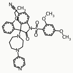 CCOc1ccccc1C1(N2CCCN(c3ccncc3)CC2)C(=O)N(S(=O)(=O)c2ccc(OC)cc2OC)c2ccc(C#N)cc21